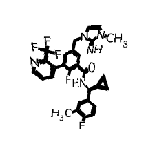 Cc1cc([C@@H](NC(=O)c2cc(Cn3ccn(C)c3=N)cc(-c3cccnc3C(F)(F)F)c2F)C2CC2)ccc1F